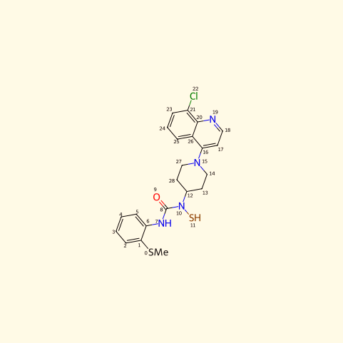 CSc1ccccc1NC(=O)N(S)C1CCN(c2ccnc3c(Cl)cccc23)CC1